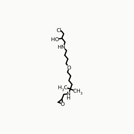 CC(C)(CCCCOCCCCNCC(O)CCl)NCC1CO1